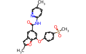 Cc1ccc(NC(=O)c2cc(Oc3ccc(S(C)(=O)=O)cc3)c3oc(C)cc3c2)nc1